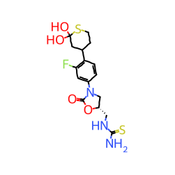 NC(=S)NC[C@H]1CN(c2ccc(C3CCSC(O)(O)C3)c(F)c2)C(=O)O1